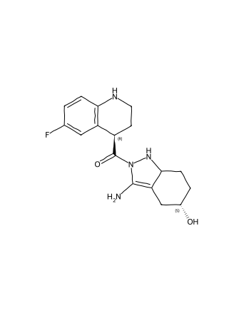 NC1=C2C[C@@H](O)CCC2NN1C(=O)[C@@H]1CCNc2ccc(F)cc21